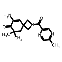 Cc1cnc(C(=O)N2CC3(C=C(N)C(=O)C(C)(C)C3)C2)cn1